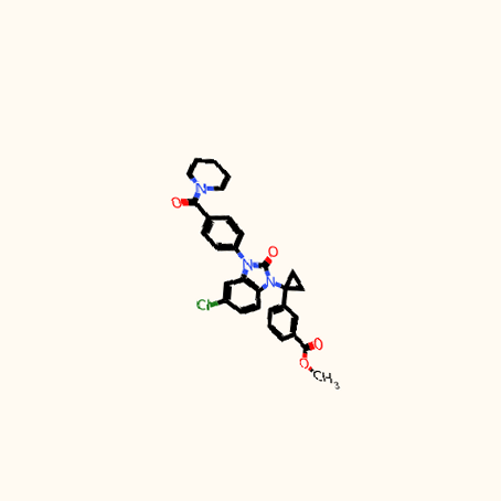 COC(=O)c1cccc(C2(n3c(=O)n(-c4ccc(C(=O)N5CCCCC5)cc4)c4cc(Cl)ccc43)CC2)c1